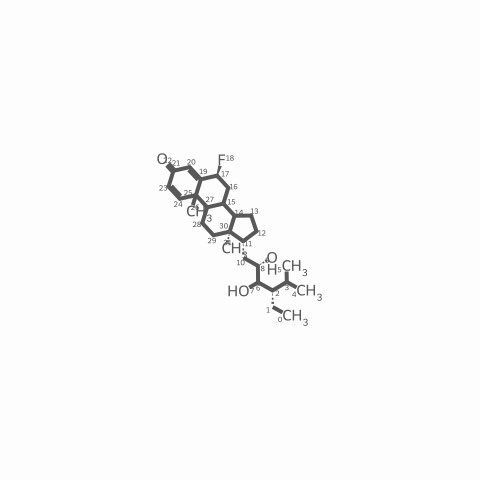 CC[C@@H](C(C)C)C(O)[C@@H](O)C[C@H]1CCC2C3C[C@H](F)C4=CC(=O)C=CC4(C)C3CC[C@@]21C